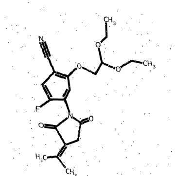 CCOC(COc1cc(N2C(=O)CC(=C(C)C)C2=O)c(F)cc1C#N)OCC